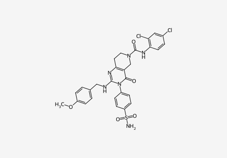 COc1ccc(CNc2nc3c(c(=O)n2-c2ccc(S(N)(=O)=O)cc2)CN(C(=O)Nc2ccc(Cl)cc2Cl)CC3)cc1